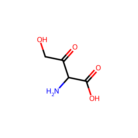 NC(C(=O)O)C(=O)CO